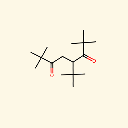 CC(C)(C)C(=O)CC(C(=O)C(C)(C)C)C(C)(C)C